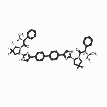 CN(C)[C@@H](C(=O)N1CC(F)(F)C[C@H]1c1nc(-c2ccc(-c3ccc(-c4c[nH]c([C@@H]5CC(F)(F)CN5C(=O)[C@@H](c5ccccc5)N(C)C)n4)cc3)cc2)c[nH]1)c1ccccc1